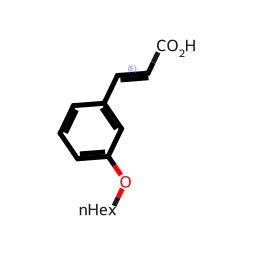 CCCCCCOc1cccc(/C=C/C(=O)O)c1